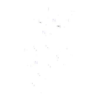 CCc1nc2ccccc2n1-c1nc(N2CCOCC2)c2nc(CN3C[C@@H]4C[C@H]3CN4C(C)(C)CO)n(C)c2n1